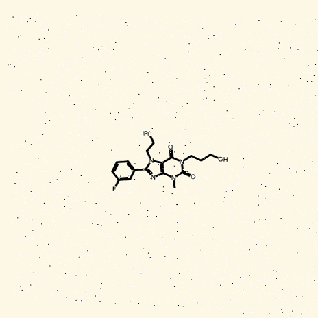 CC(C)CCn1c(-c2cccc(F)c2)nc2c1c(=O)n(CCCO)c(=O)n2C